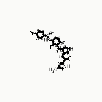 Cc1c[nH]c(-c2cnc3[nH]cc(C(=O)c4c(F)ccc(N[S+]([O-])c5ccc(C(C)C)cc5)c4F)c3c2)n1